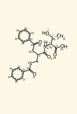 C[C@@H](O)[C@H](NC(=O)C(CSC(=O)c1ccccc1)SC(=O)c1ccccc1)C(=O)O